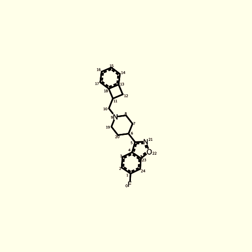 Fc1ccc2c(C3CCN(CC4Cc5ccccc54)CC3)noc2c1